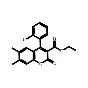 CCOC(=O)c1c(-c2ccccc2Cl)c2cc(C)c(C)cc2oc1=O